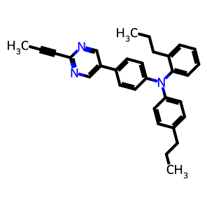 CC#Cc1ncc(-c2ccc(N(c3ccc(CCC)cc3)c3ccccc3CCC)cc2)cn1